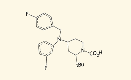 CC(C)(C)C1CC(N(Cc2ccc(F)cc2)c2cccc(F)c2)CCN1C(=O)O